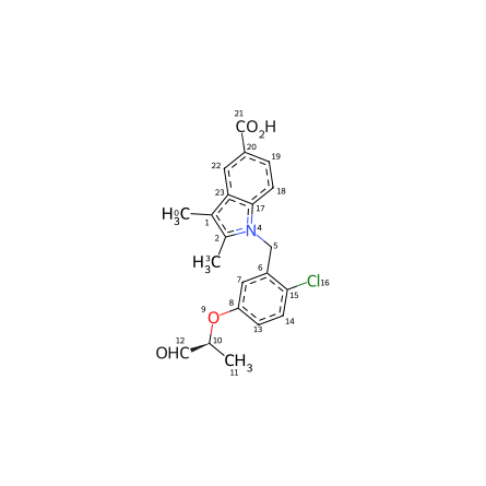 Cc1c(C)n(Cc2cc(O[C@@H](C)C=O)ccc2Cl)c2ccc(C(=O)O)cc12